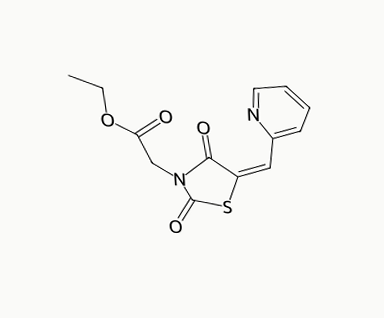 CCOC(=O)CN1C(=O)SC(=Cc2ccccn2)C1=O